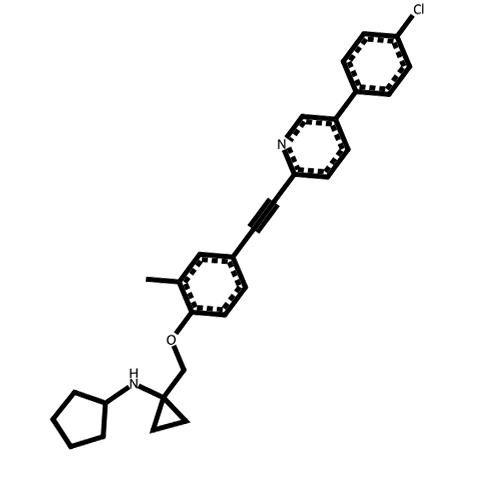 Cc1cc(C#Cc2ccc(-c3ccc(Cl)cc3)cn2)ccc1OCC1(NC2CCCC2)CC1